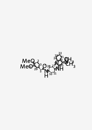 COc1ccc(CC(=O)NC2CCC(Nc3cc(N(C)C)c4ccccc4n3)CC2)cc1OC